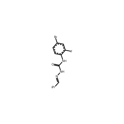 CC(C)/C=N/NC(=O)Nc1ccc(Br)cc1F